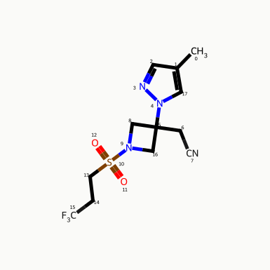 Cc1cnn(C2(CC#N)CN(S(=O)(=O)CCC(F)(F)F)C2)c1